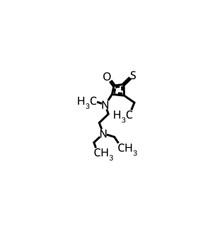 CCc1c(N(C)CCN(CC)CC)c(=O)c1=S